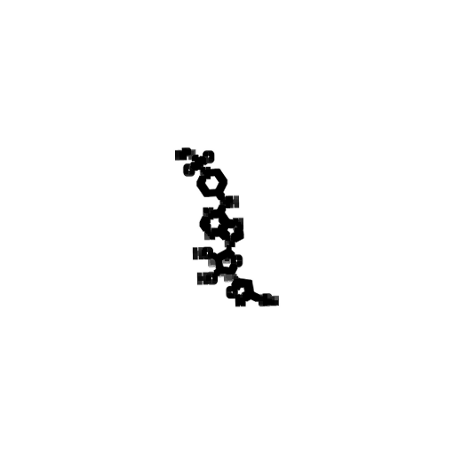 CCCS(=O)(=O)N1CCC(Nc2ncnc3c2ncn3[C@@H]2O[C@H](c3cc(C(C)(C)C)no3)[C@@H](O)[C@H]2O)CC1